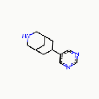 c1ncc(C2CC3CNCC(C3)C2)cn1